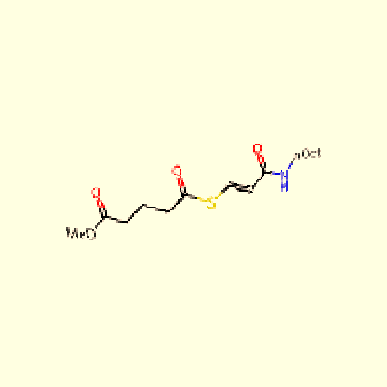 CCCCCCCCNC(=O)C=CSC(=O)CCCC(=O)OC